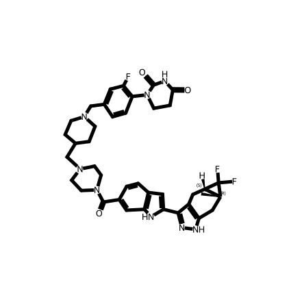 C[C@@]12Cc3[nH]nc(-c4cc5ccc(C(=O)N6CCN(CC7CCN(Cc8ccc(N9CCC(=O)NC9=O)c(F)c8)CC7)CC6)cc5[nH]4)c3C[C@@H]1C2(F)F